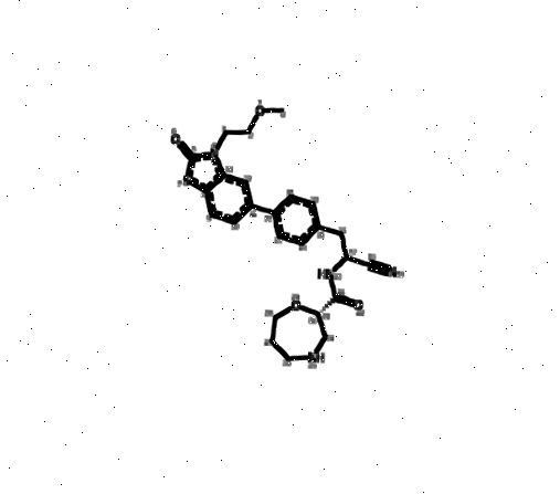 COCCn1c(=O)sc2ccc(-c3ccc(CC(C#N)NC(=O)[C@@H]4CNCCCO4)cc3)cc21